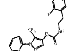 O=C(NCCc1ccccc1F)Oc1cnn(-c2ccccn2)c1C(F)(F)F